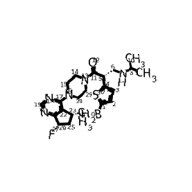 Bc1ccc([C@@H](CNC(C)C)C(=O)N2CCN(c3ncnc4c3[C@H](C)C[C@@H]4F)CC2)s1